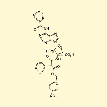 O=C(Nc1ncnc2c1ncn2[C@@H]1O[C@H](C(=O)O)[C@@H](NC(=O)C(C(=O)OCc2ccc([N+](=O)[O-])cc2)c2ccccc2)[C@H]1O)c1ccccc1